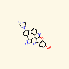 O=c1[nH]c2ccccc2c2c1c(-c1ccc(O)cc1)nc1[nH]nc(-c3ccc(N4CCNCC4)cc3)c12